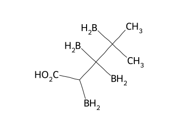 BC(C(=O)O)C(B)(B)C(B)(C)C